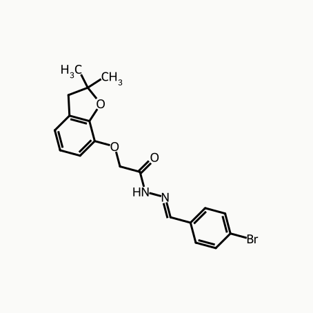 CC1(C)Cc2cccc(OCC(=O)N/N=C/c3ccc(Br)cc3)c2O1